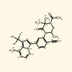 CC(=O)N1CC(C)N(c2cc(-c3cc(C(F)(F)F)c4c(N)ncnn34)ccc2C#N)C(=O)C1(C)C